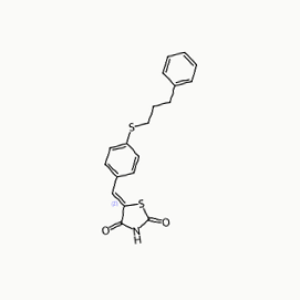 O=C1NC(=O)/C(=C/c2ccc(SCCCc3ccccc3)cc2)S1